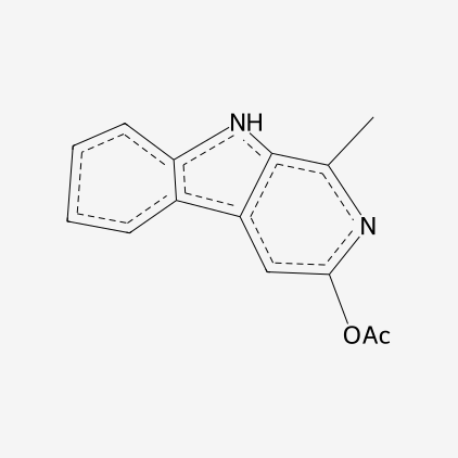 CC(=O)Oc1cc2c([nH]c3ccccc32)c(C)n1